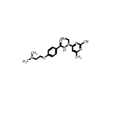 Cc1cc(N(CC(C)(C)C)NC(=O)c2ccc(OCCN(C)C)cc2)nc(C#N)n1